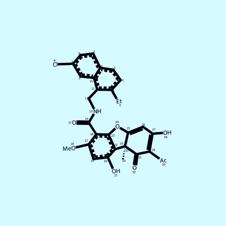 CCc1ccc2ccc(Cl)cc2c1CNC(=O)c1c(OC)cc(O)c2c1OC1=CC(O)=C(C(C)=O)C(=O)[C@]12C